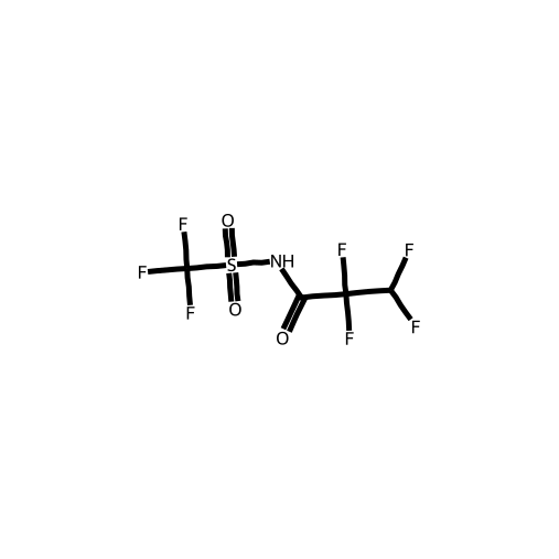 O=C(NS(=O)(=O)C(F)(F)F)C(F)(F)C(F)F